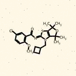 COc1ccc(Cl)cc1C(=O)N=c1sc2c(n1CC1CCC1)C(C)(C)OC2(C)C